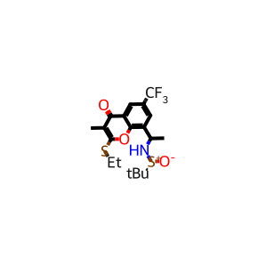 CCSc1oc2c(C(C)N[S@+]([O-])C(C)(C)C)cc(C(F)(F)F)cc2c(=O)c1C